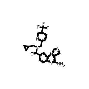 Nc1nc2ccc(C(=O)N(Cc3ccc(C(F)(F)F)cn3)CC3CC3)cc2n2cncc12